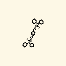 S=C(SSCc1ccc(CSSC(=S)N(C2CCCCC2)C2CCCCC2)cc1)N(C1CCCCC1)C1CCCCC1